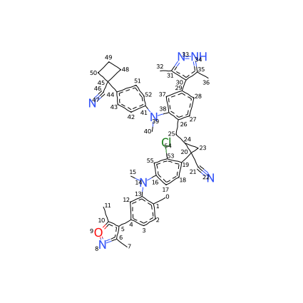 Cc1ccc(-c2c(C)noc2C)cc1N(C)c1ccc(C2(C#N)CC2Cc2ccc(-c3c(C)n[nH]c3C)cc2N(C)c2ccc(C3(C#N)CCC3)cc2)c(Cl)c1